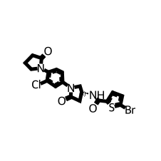 O=C(N[C@@H]1CC(=O)N(c2ccc(N3CCCC3=O)c(Cl)c2)C1)c1ccc(Br)s1